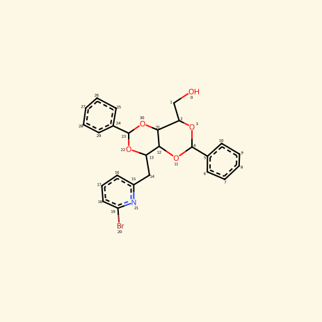 OCC1OC(c2ccccc2)OC2C(Cc3cccc(Br)n3)OC(c3ccccc3)OC12